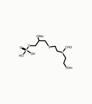 CCCCCCCCCCCCN(C=O)CCSCC(COP(=O)(O)O)OC